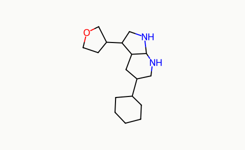 C1CCC(C2CNC3NCC(C4CCOC4)C3C2)CC1